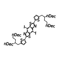 CCCCCCCCCCCCC(CCCCCCCCCC)Cc1ccc(-c2nc3c(I)c4sc(-c5ccc(CC(CCCCCCCCCC)CCCCCCCCCCCC)s5)nc4c(I)c3s2)s1